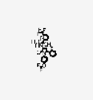 CC(C)(NC1=CC(c2ccccc2F)N(c2ccc(OC(F)F)cc2)C1=O)c1cccc(C(F)(F)F)n1